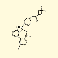 CN1Cc2c(C3=CCN(CC(=O)N4CC(F)(F)C4)CC3)[nH]c3nccc(c23)-c2cc(F)ccc21